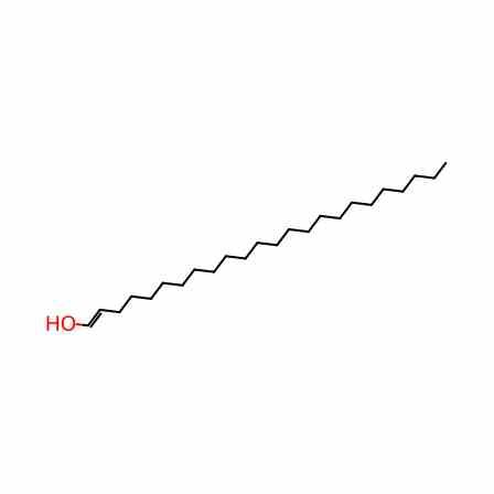 CCCCCCCCCCCCCCCCCCCCCCC=CO